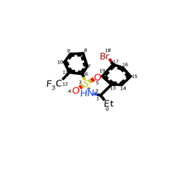 CCC(NS(=O)(=O)c1ccccc1C(F)(F)F)c1cccc(Br)c1